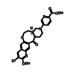 CCc1cc2cc3c(cc2nc1OC)C(=O)N1CCN(c2ccc(C(=O)OC)nc2)C[C@@H]1CCO3